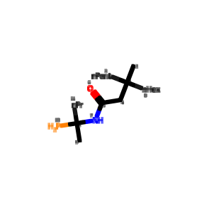 CCCCCCC(C)(CCCCC)CC(=O)NC(C)(P)CCC